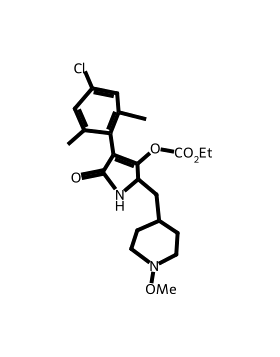 CCOC(=O)OC1=C(c2c(C)cc(Cl)cc2C)C(=O)NC1CC1CCN(OC)CC1